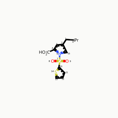 CC(C)Cc1cc(C(=O)O)n(S(=O)(=O)c2cccs2)c1